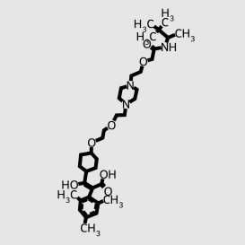 Cc1cc(C)c(/C(C(=O)O)=C(\O)C2CCC(OCCOCCN3CCN(CCOCC(=O)NC(C)C(C)(C)C)CC3)CC2)c(C)c1